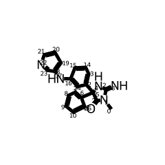 CN1C(=N)NC(c2ccccc2)(c2cccc(Nc3cccnc3)c2)C1=O